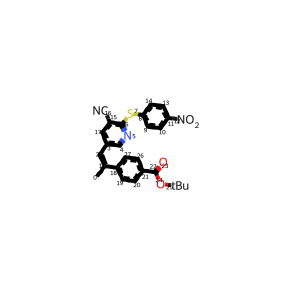 C/C(=C/c1cnc(Sc2ccc([N+](=O)[O-])cc2)c(C#N)c1)c1ccc(C(=O)OC(C)(C)C)cc1